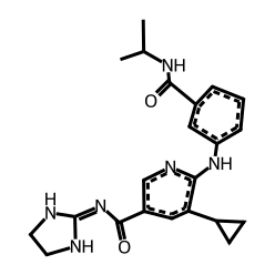 CC(C)NC(=O)c1cccc(Nc2ncc(C(=O)N=C3NCCN3)cc2C2CC2)c1